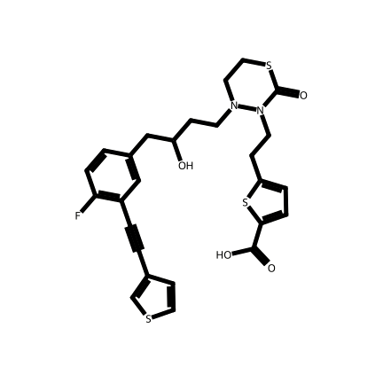 O=C(O)c1ccc(CCN2C(=O)SCCN2CCC(O)Cc2ccc(F)c(C#Cc3ccsc3)c2)s1